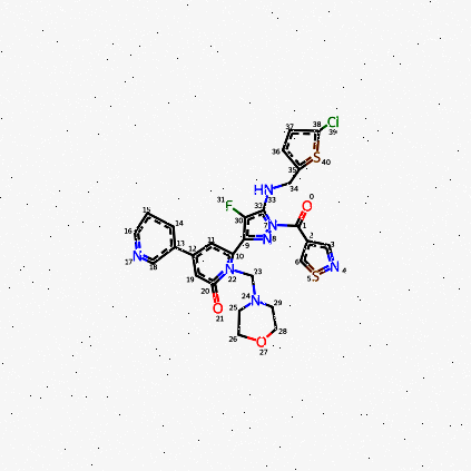 O=C(c1cnsc1)n1nc(-c2cc(-c3cccnc3)cc(=O)n2CN2CCOCC2)c(F)c1NCc1ccc(Cl)s1